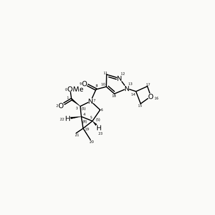 COC(=O)[C@@H]1[C@@H]2[C@H](CN1C(=O)c1cnn(C3COC3)c1)C2(C)C